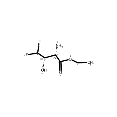 CCOC(=O)[C@@H](N)[C@H](O)C(F)F